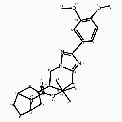 COc1ccc(-c2nc3n(n2)CC(C2CC4CCC(C2)N4C(=O)OC(C)(C)C)CC3)cc1OC